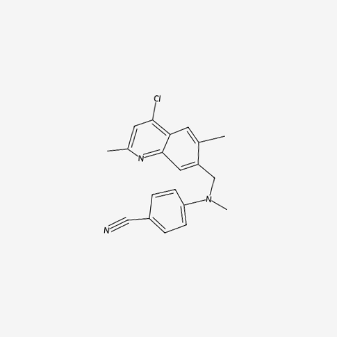 Cc1cc(Cl)c2cc(C)c(CN(C)c3ccc(C#N)cc3)cc2n1